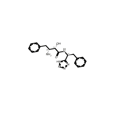 N[C@H](Cc1ccccc1)[C@H](O)C(=O)N[C@@H](Cc1ccccc1)c1nnn[nH]1